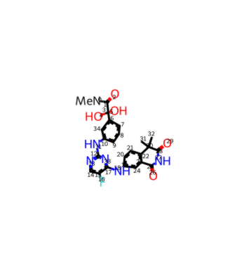 CNC(=O)C(O)(O)c1cccc(Nc2ncc(F)c(Nc3ccc4c(c3)C(=O)NC(=O)C4(C)C)n2)c1